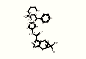 CC12Cc3[nH]nc(C(=O)Nc4cnn([C@H](c5ccccc5)[C@H]5CCCCS5(=O)=O)c4)c3CC1C2(F)F